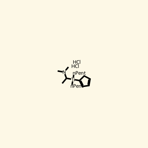 CCCC[CH2][Ti]([CH2]CCCC)([C]1=CC=CC1)[CH](C)N(C)C.Cl.Cl